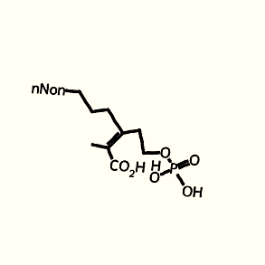 CCCCCCCCCCCCC(CCOP(=O)(O)O)=C(C)C(=O)O